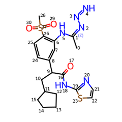 C/C(=N/N=N)Nc1cc(C(CC2CCCC2)C(=O)Nc2nccs2)ccc1S(C)(=O)=O